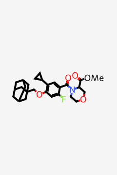 COC(=O)C1COCCN1C(=O)c1cc(C2CC2)c(OCC23CC4CC(CC(C4)C2)C3)cc1F